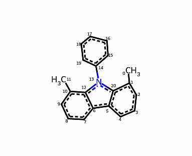 Cc1cccc2c3cccc(C)c3n(-c3ccccc3)c12